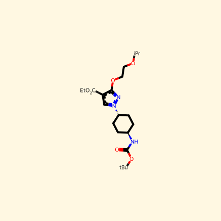 CCOC(=O)c1cn([C@H]2CC[C@H](NC(=O)OC(C)(C)C)CC2)nc1OCCOC(C)C